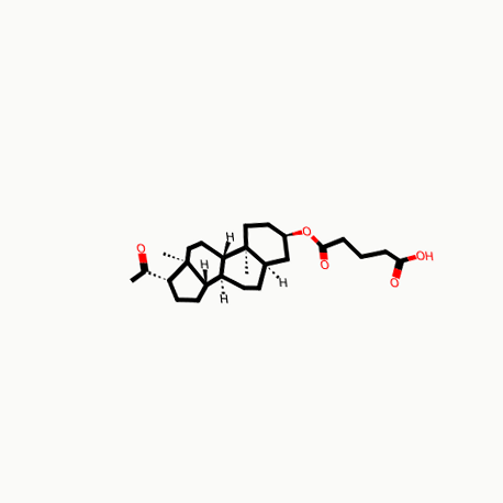 CC(=O)[C@H]1CC[C@H]2[C@@H]3CC[C@@H]4C[C@H](OC(=O)CCCC(=O)O)CC[C@]4(C)[C@H]3CC[C@]12C